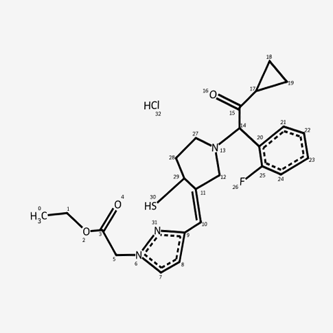 CCOC(=O)Cn1ccc(/C=C2/CN(C(C(=O)C3CC3)c3ccccc3F)CCC2S)n1.Cl